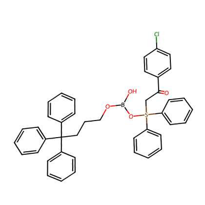 O=C(CS(OB(O)OCCCC(c1ccccc1)(c1ccccc1)c1ccccc1)(c1ccccc1)c1ccccc1)c1ccc(Cl)cc1